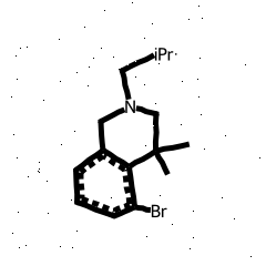 C[C](C)CN1Cc2cccc(Br)c2C(C)(C)C1